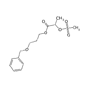 CC(OS(C)(=O)=O)C(=O)OCCCOCc1ccccc1